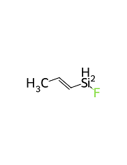 CC=C[SiH2]F